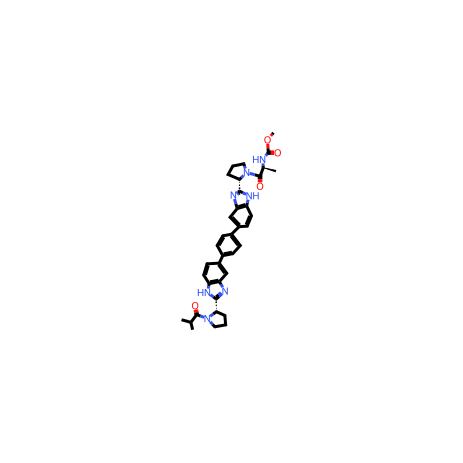 COC(=O)N[C@@H](C)C(=O)N1CCC[C@H]1c1nc2cc(-c3ccc(-c4ccc5[nH]c([C@@H]6CCCN6C(=O)C(C)C)nc5c4)cc3)ccc2[nH]1